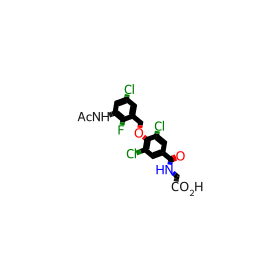 CC(=O)Nc1cc(Cl)cc(COc2c(Cl)cc(C(=O)NCC(=O)O)cc2Cl)c1F